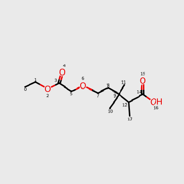 CCOC(=O)COCCC(C)(C)C(C)C(=O)O